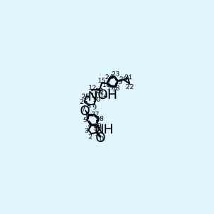 O=C1CCc2cc(OC3CCN(C[C@@H](O)Cc4ccc(C5CC5)cc4)CC3)ccc2N1